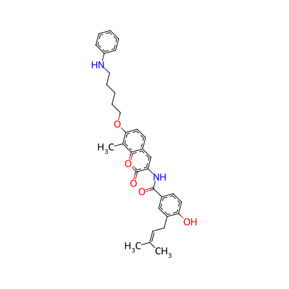 CC(C)=CCc1cc(C(=O)Nc2cc3ccc(OCCCCCNc4ccccc4)c(C)c3oc2=O)ccc1O